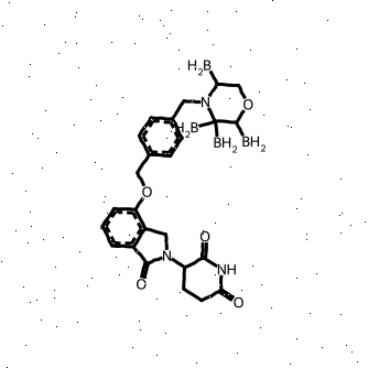 BC1COC(B)C(B)(B)N1Cc1ccc(COc2cccc3c2CN(C2CCC(=O)NC2=O)C3=O)cc1